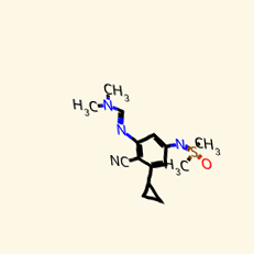 CN(C)C=Nc1cc(N=S(C)(C)=O)cc(C2CC2)c1C#N